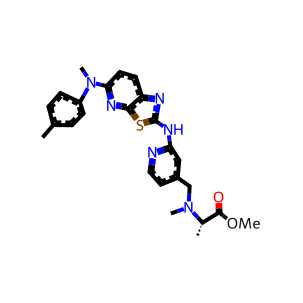 COC(=O)[C@H](C)N(C)Cc1ccnc(Nc2nc3ccc(N(C)c4ccc(C)cc4)nc3s2)c1